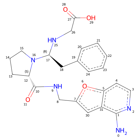 Nc1nccc2oc(CNC(=O)[C@@H]3CCCN3[C@H](Cc3ccccc3)NCC(=O)O)cc12